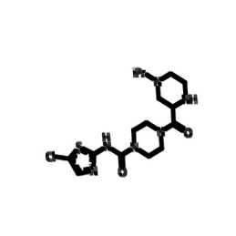 CC(C)N1CCNC(C(=O)N2CCN(C(=O)Nc3ncc(Cl)s3)CC2)C1